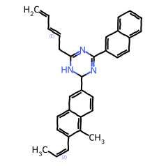 C=C/C=C/CC1=NC(c2ccc3ccccc3c2)=NC(c2ccc3c(C)c(/C=C\C)ccc3c2)N1